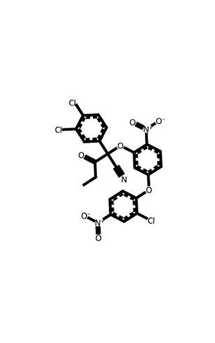 CCC(=O)C(C#N)(Oc1cc(Oc2ccc([N+](=O)[O-])cc2Cl)ccc1[N+](=O)[O-])c1ccc(Cl)c(Cl)c1